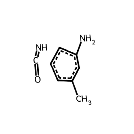 Cc1cccc(N)c1.N=C=O